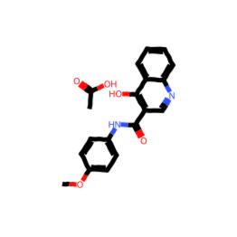 CC(=O)O.COc1ccc(NC(=O)c2cnc3ccccc3c2O)cc1